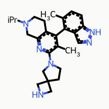 Cc1ccc2[nH]ncc2c1-c1c(C)c(N2CCC3(CNC3)C2)nc2c1CCN(C(C)C)C2